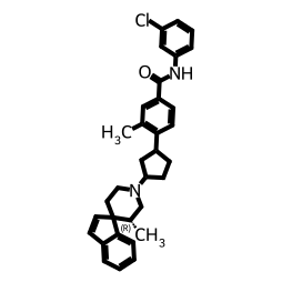 Cc1cc(C(=O)Nc2cccc(Cl)c2)ccc1C1CCC(N2CCC3(C=Cc4ccccc43)[C@@H](C)C2)C1